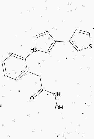 O=C(Cc1ccccc1[SH]1C=CC(c2ccsc2)=C1)NO